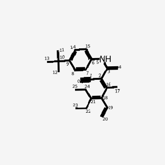 C#C/C(C(=C)Nc1ccc(C(C)(C)C)cc1)=C(/C)C(C=C)=C(CC)CC